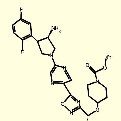 CC(C)OC(=O)N1CCC(O[C@H](C)c2noc(-c3cnc(N4C[C@H](c5cc(F)ccc5F)[C@@H](N)C4)cn3)n2)CC1